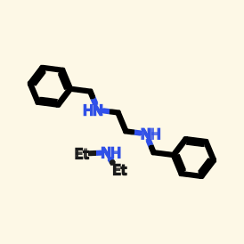 CCNCC.c1ccc(CNCCNCc2ccccc2)cc1